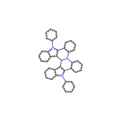 c1ccc(-n2c3c(c4ccccc42)B2c4c(n(-c5ccccc5)c5ccccc45)-c4ccccc4N2c2ccccc2-3)cc1